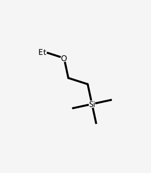 CCOCC[Si](C)(C)C